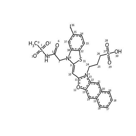 CS(=O)(=O)NC(=O)CN1C(=Cc2oc3cc4ccccc4cc3[n+]2CCCS(=O)(=O)O)Sc2ccc(I)cc21